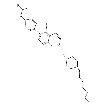 CCCCCCC[C@H]1CC[C@H](CCc2ccc3c(F)c(-c4ccc(OC(F)F)cc4)ccc3c2)CC1